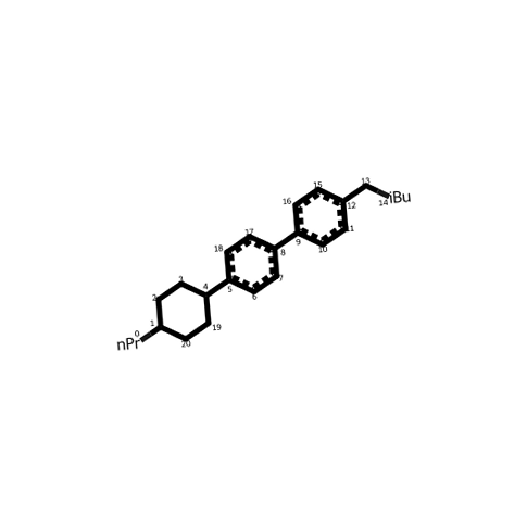 CCCC1CCC(c2ccc(-c3ccc(CC(C)CC)cc3)cc2)CC1